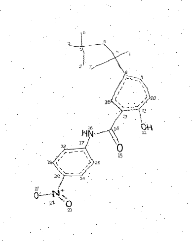 CC(C)(C)CC(C)(C)c1ccc(O)c(C(=O)Nc2ccc([N+](=O)[O-])cc2)c1